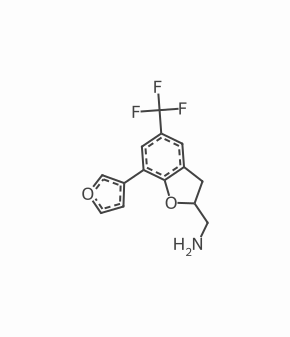 NCC1Cc2cc(C(F)(F)F)cc(-c3ccoc3)c2O1